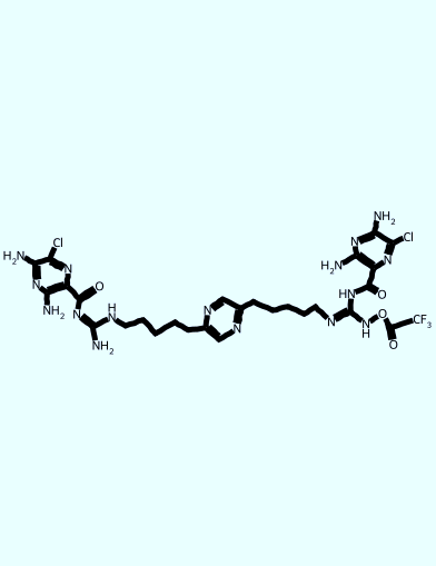 NC(=NC(=O)c1nc(Cl)c(N)nc1N)NCCCCCc1cnc(CCCCCN=C(NOC(=O)C(F)(F)F)NC(=O)c2nc(Cl)c(N)nc2N)cn1